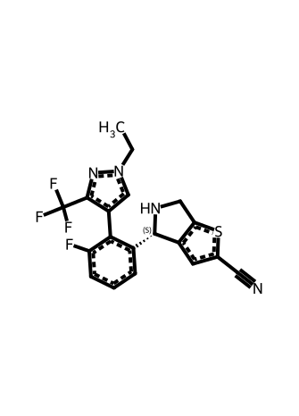 CCn1cc(-c2c(F)cccc2[C@@H]2NCc3sc(C#N)cc32)c(C(F)(F)F)n1